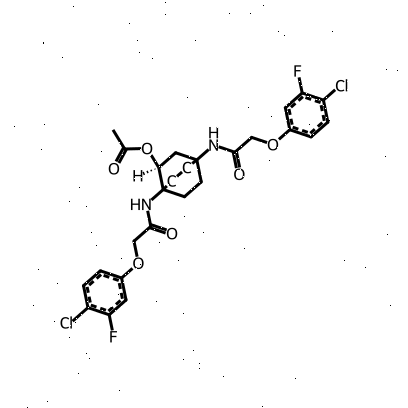 CC(=O)O[C@H]1CC2(NC(=O)COc3ccc(Cl)c(F)c3)CCC1(NC(=O)COc1ccc(Cl)c(F)c1)CC2